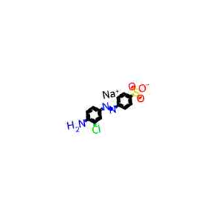 Nc1ccc(N=Nc2ccc(S(=O)(=O)[O-])cc2)cc1Cl.[Na+]